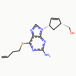 C=CCCSc1nc(N)nc2c1ncn2[C@@H]1C=C[C@H](CO)C1